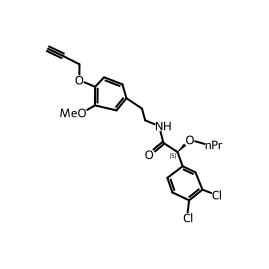 C#CCOc1ccc(CCNC(=O)[C@@H](OCCC)c2ccc(Cl)c(Cl)c2)cc1OC